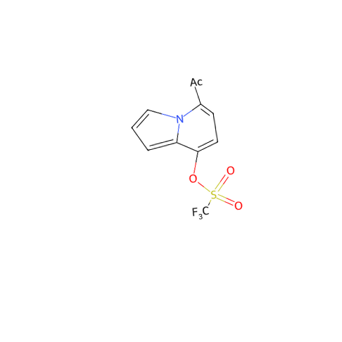 CC(=O)c1ccc(OS(=O)(=O)C(F)(F)F)c2cccn12